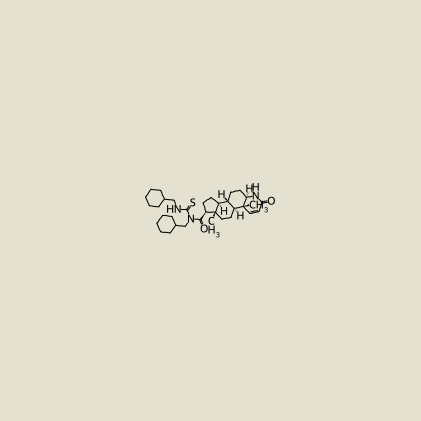 C[C@]12C=CC(=O)N[C@@H]1CC[C@@H]1[C@@H]2CC[C@]2(C)[C@@H](C(=O)N(CC3CCCCC3)C(=S)NCC3CCCCC3)CC[C@@H]12